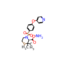 CC1(C)SCCN(S(=O)(=O)c2ccc(Oc3ccncc3)cc2)[C@H]1C(=O)ON